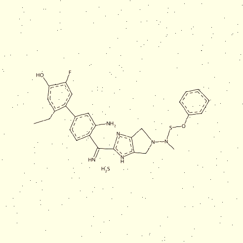 CCc1cc(O)c(F)cc1-c1ccc(C(=N)c2nc3c([nH]2)CN(N(C)SOc2ccccc2)C3)c(N)c1.S